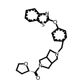 O=C([C@@H]1CCCO1)N1CC2CN(Cc3ccc(Oc4nc5ccccc5s4)cc3)CC2C1